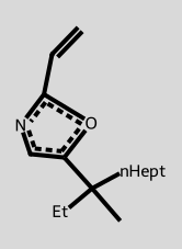 C=Cc1ncc(C(C)(CC)CCCCCCC)o1